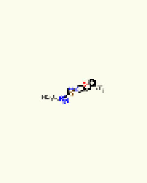 O=C(O)Cn1nnc(-c2cnc(N3CCC4(CCc5c(cccc5C(F)(F)F)O4)CC3)s2)n1